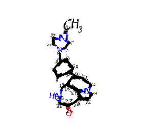 CN1CCN(Cc2ccc(-c3ccn4ccc5c4c3CNCC5=O)cc2)CC1